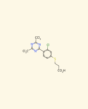 O=C(O)CCSc1ccc(-c2nc(C(Cl)(Cl)Cl)nc(C(Cl)(Cl)Cl)n2)c(Cl)c1